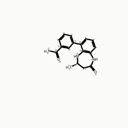 C[C@@H]1CC(=O)Nc2cccc(-c3cccc(C(N)=O)c3)c2N1